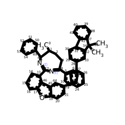 CC1CC/C(c2ccccc2)=N\C(c2cccc3oc4ccc(-c5cccc(-c6ccc7c(c6)C(C)(C)c6ccccc6-7)c5)cc4c23)=N/C1c1ccccc1